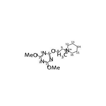 COc1nc(OC)nc(OCC[N+]2(C)CCCCC2)n1